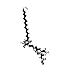 CCCCCCCCCCCCCCCC(=O)N[C@@H](CCN/C=C(/C[C@H](NC(=O)CNOF)C(N)=O)N=N)C(=O)O